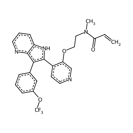 C=CC(=O)N(C)CCOc1cnccc1-c1[nH]c2cccnc2c1-c1cccc(OC(F)(F)F)c1